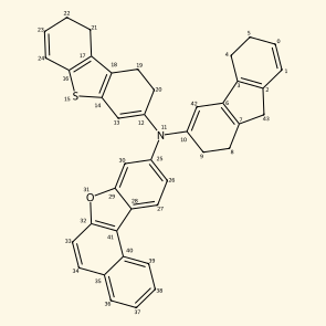 C1=CC2=C(CC1)C1=C(CCC(N(C3=Cc4sc5c(c4CC3)CCC=C5)c3ccc4c(c3)oc3ccc5ccccc5c34)=C1)C2